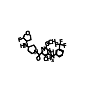 COc1nc(Nc2cccc(C(F)(F)F)c2)c(C)c(C(=O)N2CCC(NC3CCOCC3F)CC2)n1